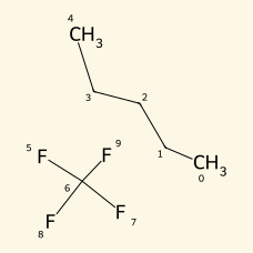 CCCCC.FC(F)(F)F